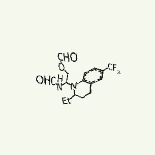 CCC1CCc2cc(C(F)(F)F)ccc2N1C(COC=O)NC=O